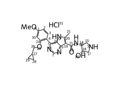 COc1ccc(-c2ncnc3c(C(=O)N[C@@H]4CNC[C@@H]4O)c(C)[nH]c23)c(OCC2CC2)c1.Cl